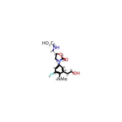 CNc1c(F)cc(N2C[C@H](CNC(=O)O)OC2=O)cc1CCO